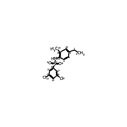 CCc1ccc(NS(=O)(=O)c2cc(Cl)cc(Cl)c2)c(C)c1